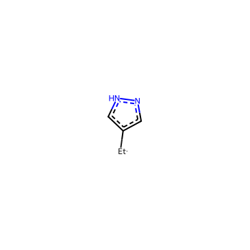 C[CH]c1cn[nH]c1